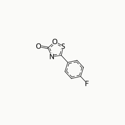 O=c1nc(-c2ccc(F)cc2)so1